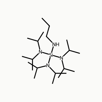 CCCN[Si](N(C(C)C)C(C)C)(N(C(C)C)C(C)C)N(C(C)C)C(C)C